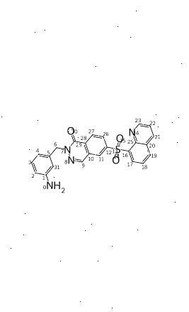 Nc1cccc(Cn2ncc3cc(S(=O)(=O)c4cccc5cccnc45)ccc3c2=O)c1